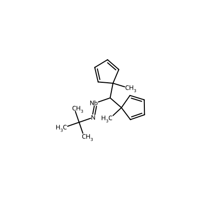 CC(C)(C)[N]=[Nb][CH](C1(C)C=CC=C1)C1(C)C=CC=C1